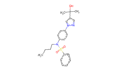 CCCCN(c1ccc(-n2cc(C(C)(C)O)cn2)cc1)S(=O)(=O)c1ccccc1